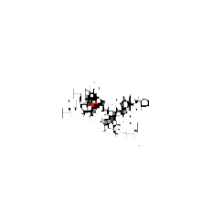 C=CCOP(=O)(OCCC#N)O[C@@H]1C(F)[C@H](n2cnc3c(NC(=O)c4ccccc4)ncnc32)O[C@@H]1COP(=S)(OCCC#N)OC1[C@@H](F)[C@@H](CO)O[C@H]1n1ccc(=O)[nH]c1=O